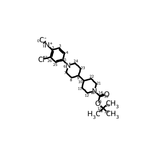 [C-]#[N+]c1ccc(N2CCC(C3CCN(C(=O)OC(C)(C)C)CC3)CC2)cc1Cl